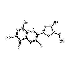 CC(C)(C)n1cc(C(=O)O)c(=O)c2cc(F)c(N3CC(O)C(CN)C3)nc21